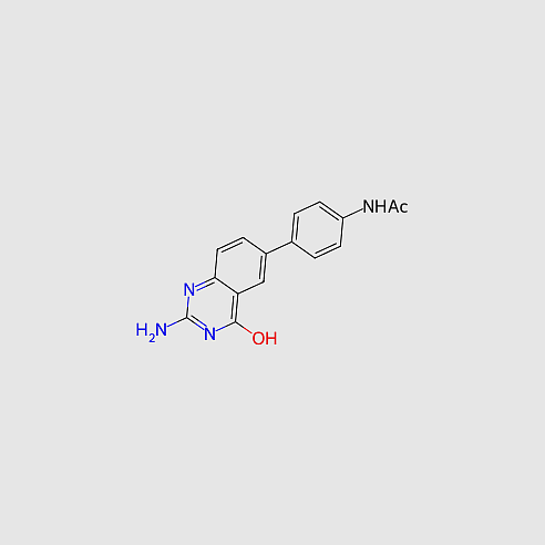 CC(=O)Nc1ccc(-c2ccc3nc(N)nc(O)c3c2)cc1